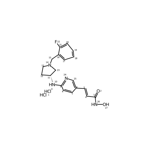 Cl.Cl.O=C(/C=C/c1ccc(N[C@@H]2CCN(Cc3ccccc3F)C2)nc1)NO